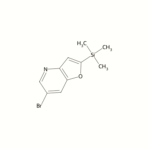 C[Si](C)(C)c1cc2ncc(Br)cc2o1